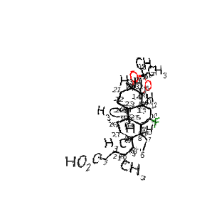 C[C@H](CCC(=O)O)[C@H]1CC[C@H]2C3=C(F)C[C@H]4[C@H]5OC(C)(C)O[C@H]5CC[C@]4(C)[C@H]3CC[C@]12C